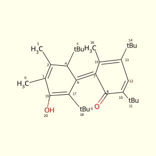 CC1=C(C)C(C(C)(C)C)C(=C2C(=O)C(C(C)(C)C)=CC(C(C)(C)C)=C2C)C(C(C)(C)C)=C1O